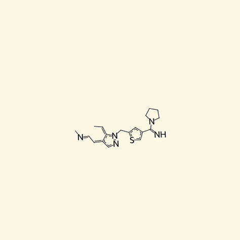 C\C=c1/c(=C\C=N\C)cnn1Cc1cc(C(=N)N2CCCC2)cs1